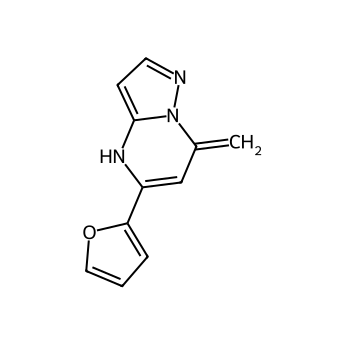 C=C1C=C(c2ccco2)Nc2ccnn21